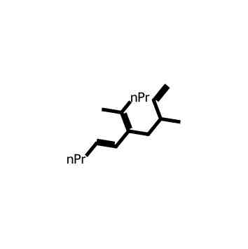 C=CC(C)CC(C=CCCC)=C(C)CCC